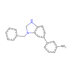 O=[N+]([O-])c1cccc(-c2ccc3c(c2)N(Cc2ccccc2)[CH]N3)c1